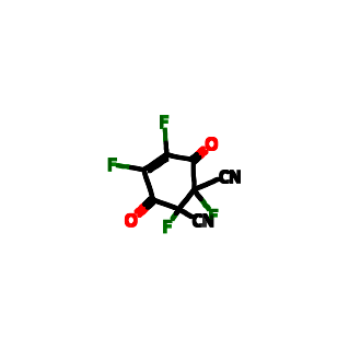 N#CC1(F)C(=O)C(F)=C(F)C(=O)C1(F)C#N